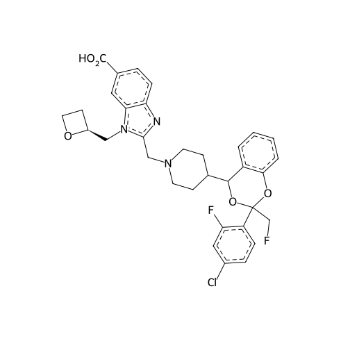 O=C(O)c1ccc2nc(CN3CCC(C4OC(CF)(c5ccc(Cl)cc5F)Oc5ccccc54)CC3)n(C[C@@H]3CCO3)c2c1